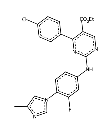 CCOC(=O)c1cnc(Nc2ccc(-n3cnc(C)c3)c(F)c2)nc1-c1ccc(Cl)cc1